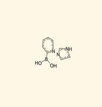 OB(O)c1ccccn1.c1c[nH]cn1